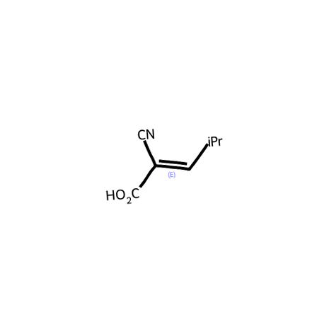 CC(C)/C=C(\C#N)C(=O)O